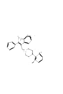 Cl.Cn1c(-c2ccccc2)c(CN2CCC(c3c(Cl)cccc3Cl)CC2)c2ccccc21